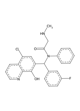 CNCC(=O)N(c1ccccc1)C(c1cccc(F)c1)c1cc(Cl)c2cccnc2c1O